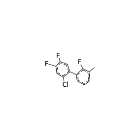 Cc1cccc(-c2cc(F)c(F)cc2Cl)c1F